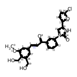 COc1cc(/C=C/C(=O)c2cccc(-n3cc(-c4ccc(Cl)o4)[nH]c3=O)c2)cc(CO)c1CO